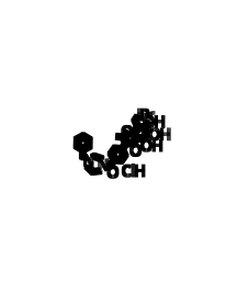 Cc1oc2c(CC(C)C)c(O)c(O)c(O)c2c(=O)c1-c1ccc(C(=O)N2CCCN(Cc3ccccc3)CC2)cc1.Cl